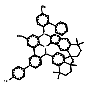 CC(C)(C)c1ccc(-c2ccc3c(c2)-c2cc(C(C)(C)C)cc4c2B(c2c(sc5cc6c(cc25)C(C)(C)CCC6(C)C)N4c2ccc(C(C)(C)C)cc2-c2ccccc2)N3c2ccc3c(c2)C(C)(C)CCC3(C)C)cc1